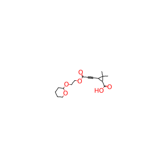 CC1(C)C(C#CC(=O)OCCOC2CCCCO2)C1C(=O)O